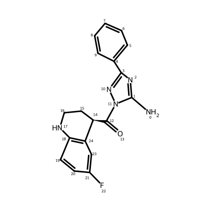 Nc1nc(-c2ccccc2)nn1C(=O)[C@@H]1CCNc2ccc(F)cc21